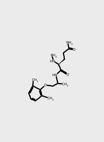 BN[C@@H](CCC(N)=O)C(=O)NC(C)COc1c(C)cccc1C